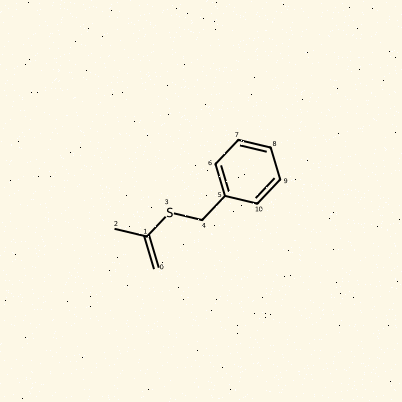 C=C(C)SCc1ccccc1